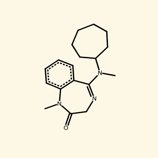 CN1C(=O)CN=C(N(C)C2CCCCCC2)c2ccccc21